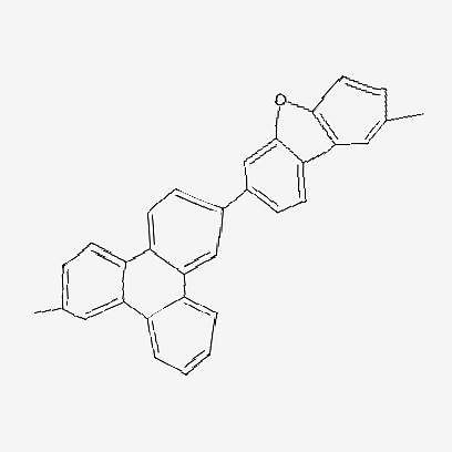 Cc1ccc2oc3cc(-c4ccc5c6ccc(C)cc6c6ccccc6c5c4)ccc3c2c1